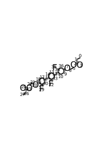 C=CC(=O)O/C=C\Oc1ccc(-c2ccc(-c3ccc(O/C=C\OC(=O)C=C)c(F)c3)c(F)c2)c(F)c1